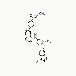 C/C=C/C(=O)N1CCN(c2ncc3ncnc(Nc4ccc(Oc5ccc6c(c5)nnn6C)c(C)c4)c3n2)CC1